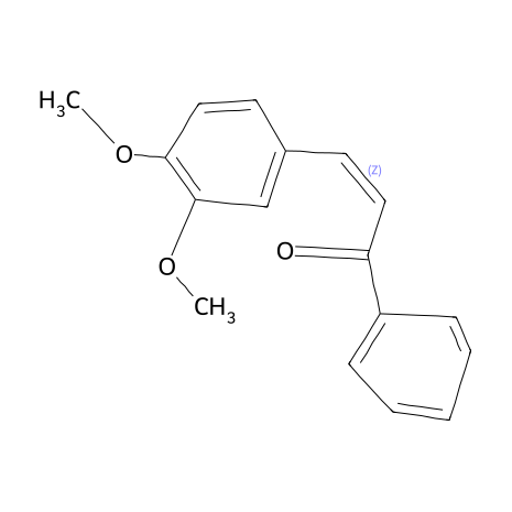 COc1ccc(/C=C\C(=O)c2ccccc2)cc1OC